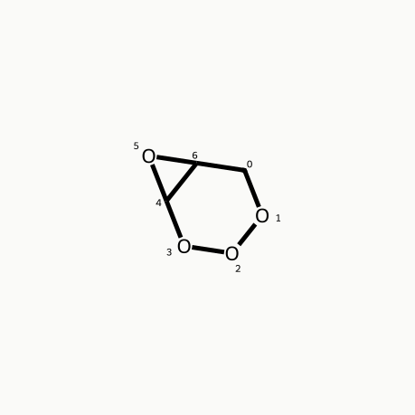 C1OOOC2OC12